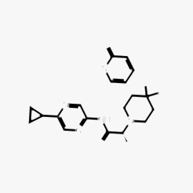 C[C@@H](C(=O)Nc1cnc(C2CC2)cn1)N1CCC(F)(F)[C@@H](c2ccc(=O)[nH]c2)C1